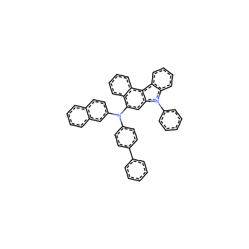 c1ccc(-c2ccc(N(c3ccc4ccccc4c3)c3cc4c(c5ccccc35)c3ccccc3n4-c3ccccc3)cc2)cc1